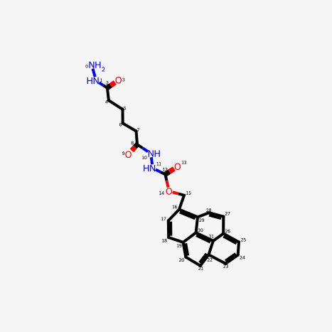 NNC(=O)CCCCC(=O)NNC(=O)OCc1ccc2ccc3cccc4ccc1c2c34